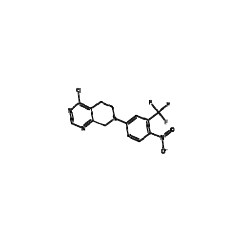 O=[N+]([O-])c1ccc(N2CCc3c(Cl)ncnc3C2)cc1C(F)(F)F